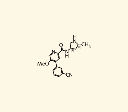 COc1cnc(C(=O)N[C@H]2CN[C@H](C)C2)cc1-c1cccc(C#N)c1